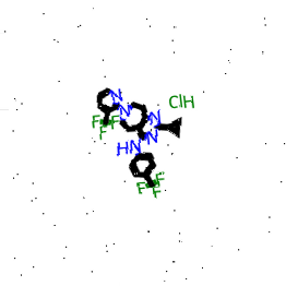 Cl.FC(F)(F)c1ccc(Nc2nc(C3CC3)nc3c2CCN(c2ncccc2C(F)(F)F)CC3)cc1